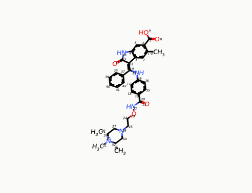 Cc1cc2c(cc1C(=O)O)NC(=O)/C2=C(/Nc1ccc(C(=O)NOCCN2C[C@@H](C)N(C)[C@@H](C)C2)cc1)c1ccccc1